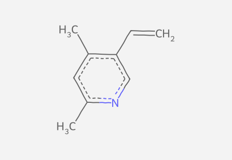 C=Cc1cnc(C)cc1C